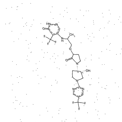 CC(COC1CCN([C@H]2CCN(c3ncc(C(F)(F)F)cn3)C[C@H]2O)C1=O)Nc1cn[nH]c(=O)c1C(F)(F)F